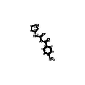 O=C(N[C@@H]1CCNC1)OC(=O)c1ccc([N+](=O)[O-])cc1